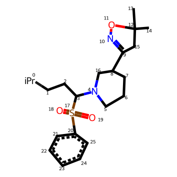 CC(C)CCC(N1CCCC(C2=NOC(C)(C)C2)C1)S(=O)(=O)c1ccccc1